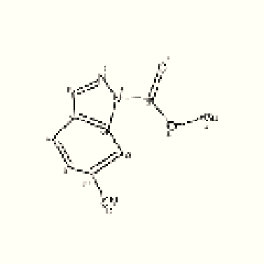 CC(C)(C)OC(=O)n1ncc2ccc(C#N)cc21